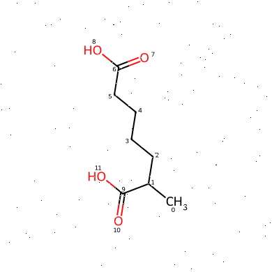 CC(CCCCC(=O)O)C(=O)O